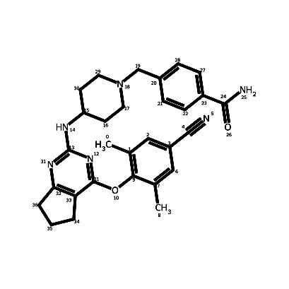 Cc1cc(C#N)cc(C)c1Oc1nc(NC2CCN(Cc3ccc(C(N)=O)cc3)CC2)nc2c1CCC2